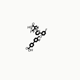 O=C(O)c1ccc(-c2ccc(COc3ccc(F)cc3-c3cccc(-n4ncc(C(=O)O)c4C(F)(F)F)n3)c(F)c2)cc1